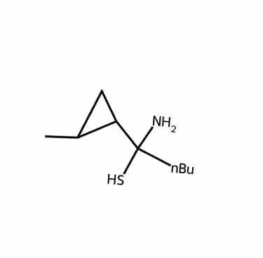 CCCCC(N)(S)C1CC1C